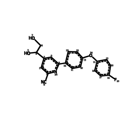 N#Cc1cc(C(O)CO)cc(-c2ccc(Oc3ccc(F)cc3)cc2)n1